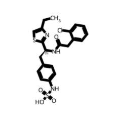 CCc1csc([C@H](Cc2ccc(NS(=O)(=O)O)cc2)NC(=O)Cc2ccccc2Cl)n1